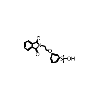 C[Si](C)(O)c1cccc(OCCN2C(=O)c3ccccc3C2=O)c1